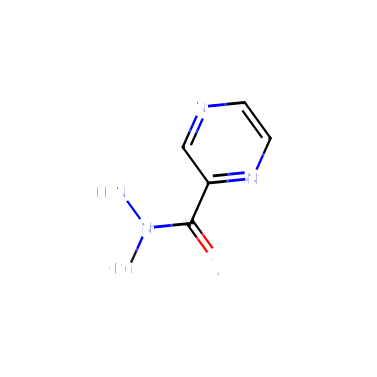 CC(C)(C)N(N)C(=O)c1cnccn1